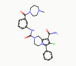 CN1CCCN(C(=O)c2cccc(NC(=O)N3CCn4c(c(C(N)=O)c(Cl)c4-c4ccccc4)C3)c2)CC1